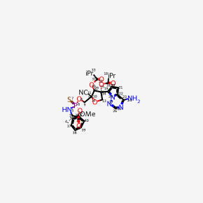 COC(=O)[C@H](C)NP(=S)(OC[C@@]1(C#N)OC[C@](OC(=O)C(C)C)(c2ccc3c(N)ncnn23)[C@@H]1OC(=O)C(C)C)Oc1ccccc1